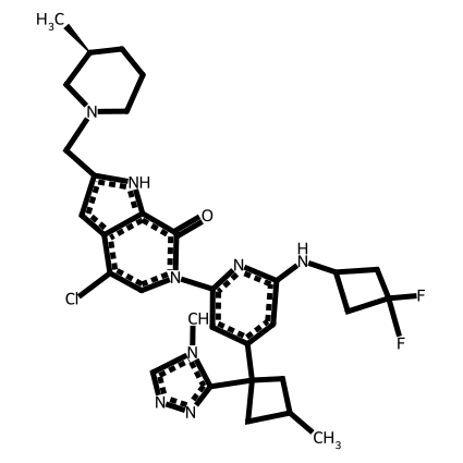 CC1CC(c2cc(NC3CC(F)(F)C3)nc(-n3cc(Cl)c4cc(CN5CCC[C@H](C)C5)[nH]c4c3=O)c2)(c2nncn2C)C1